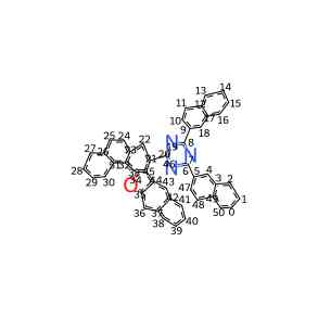 c1ccc2cc(-c3nc(-c4ccc5ccccc5c4)nc(-c4cc5ccc6ccccc6c5c5oc6cc7ccccc7cc6c45)n3)ccc2c1